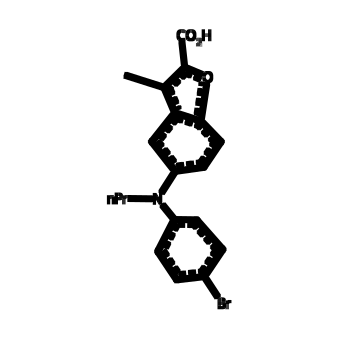 CCCN(c1ccc(Br)cc1)c1ccc2oc(C(=O)O)c(C)c2c1